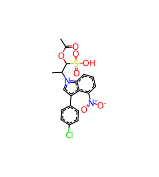 CC(=O)OC(C(C)n1cc(-c2ccc(Cl)cc2)c2c([N+](=O)[O-])cccc21)S(=O)(=O)O